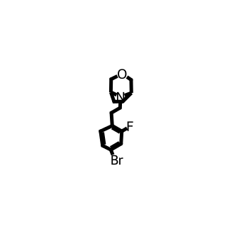 Fc1cc(Br)ccc1CCN1C2CCC1COC2